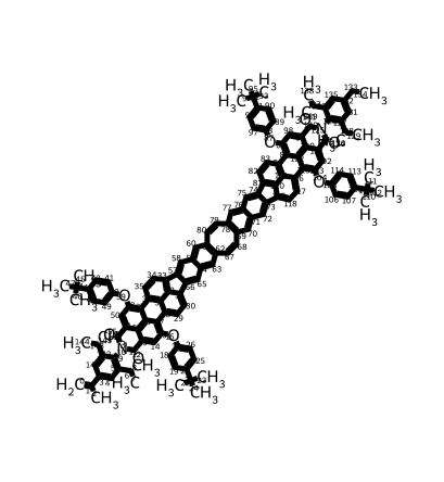 C=C(C)c1cc(C(C)C)c(N2C(=O)c3cc(Oc4ccc(C(C)(C)C)cc4)c4c5ccc6c7c(ccc(c8c(Oc9ccc(C(C)(C)C)cc9)cc(c3c48)C2=O)c75)-c2cc3cc4c(cc3cc2-6)/C=C\c2cc3cc5c(cc3cc2/C=C\4)-c2ccc3c4c(Oc6ccc(C(C)(C)C)cc6)cc6c7c(cc(Oc8ccc(C(C)(C)C)cc8)c(c8ccc-5c2c83)c74)C(=O)N(c2c(C(C)C)cc(CC)cc2C(C)C)C6=O)c(C(C)C)c1